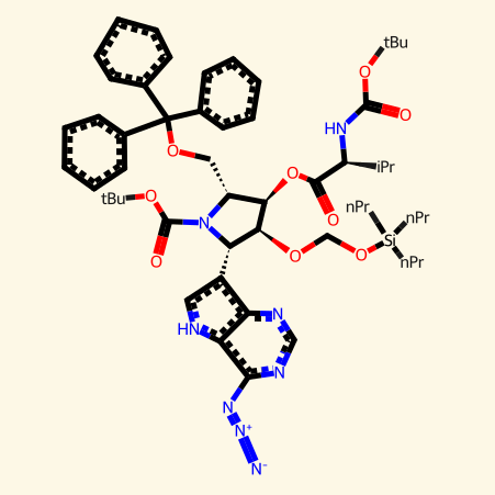 CCC[Si](CCC)(CCC)OCO[C@@H]1[C@H](OC(=O)[C@@H](NC(=O)OC(C)(C)C)C(C)C)[C@@H](COC(c2ccccc2)(c2ccccc2)c2ccccc2)N(C(=O)OC(C)(C)C)[C@H]1c1c[nH]c2c(N=[N+]=[N-])ncnc12